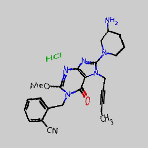 CC#CCn1c(N2CCCC(N)C2)nc2nc(OC)n(Cc3ccccc3C#N)c(=O)c21.Cl